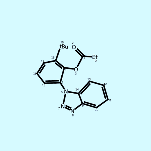 CCC(=O)Oc1c(-n2nnc3ccccc32)cccc1C(C)(C)C